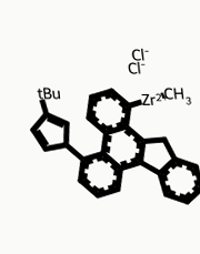 [CH3][Zr+2][c]1cccc2c1c1c(c3cccc(C4C=CC(C(C)(C)C)=C4)c32)-c2ccccc2C1.[Cl-].[Cl-]